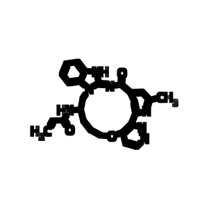 C=CC(=O)NC1CCCOc2ccnnc2-c2cc(cc(C)n2)C(=O)/N=C2\Nc3ccccc3N2C1